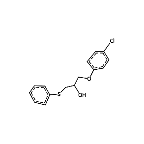 OC(COc1ccc(Cl)cc1)CSc1ccccc1